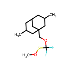 COSC(F)(F)OCC12CC(C)CC(CC(C)C1)C2